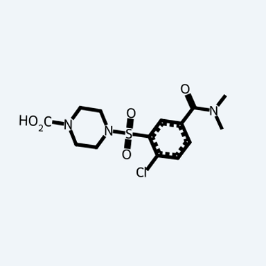 CN(C)C(=O)c1ccc(Cl)c(S(=O)(=O)N2CCN(C(=O)O)CC2)c1